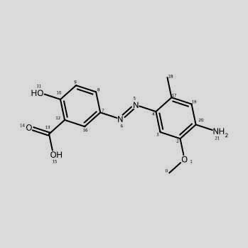 COc1cc(N=Nc2ccc(O)c(C(=O)O)c2)c(C)cc1N